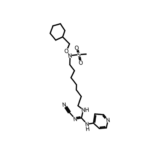 CS(=O)(=O)N(CCCCCCCN/C(=N\C#N)Nc1ccncc1)OCC1CCCCC1